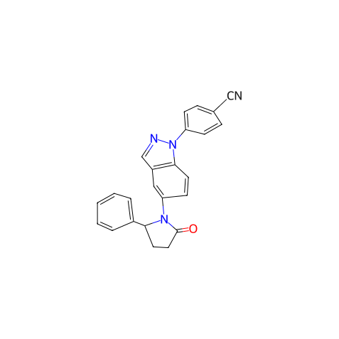 N#Cc1ccc(-n2ncc3cc(N4C(=O)CCC4c4ccccc4)ccc32)cc1